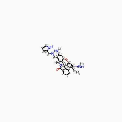 CCCN1C(=O)c2ccccc2C12c1cc(C)c(NCC)cc1Oc1cc(NCC)c(/C=N/Cc3ccc[nH]3)cc12